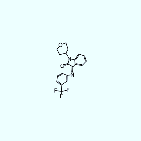 O=C1/C(=N\c2cccc(C(F)(F)F)c2)c2ccccc2N1C1CCOCC1